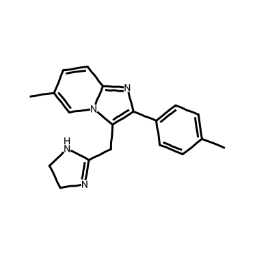 Cc1ccc(-c2nc3ccc(C)cn3c2CC2=NCCN2)cc1